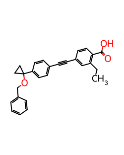 CCc1cc(C#Cc2ccc(C3(OCc4ccccc4)CC3)cc2)ccc1C(=O)O